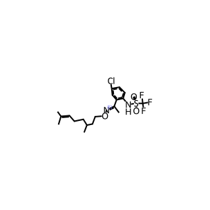 CC(C)=CCCC(C)CCO/N=C(\C)c1cc(Cl)ccc1NS(=O)(=O)C(F)(F)F